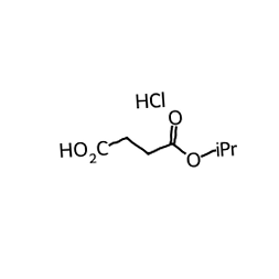 CC(C)OC(=O)CCC(=O)O.Cl